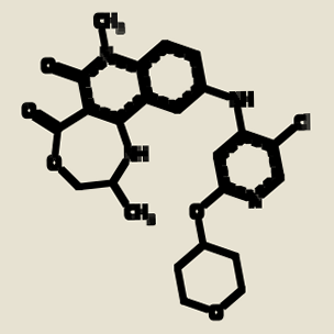 CC1COC(=O)c2c(c3cc(Nc4cc(OC5CCOCC5)ncc4Cl)ccc3n(C)c2=O)N1